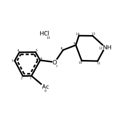 CC(=O)c1ccccc1OCC1CCNCC1.Cl